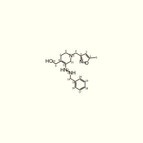 Cc1cc(CN2CCC(CO)=C(NNCc3ccccc3)C2)no1